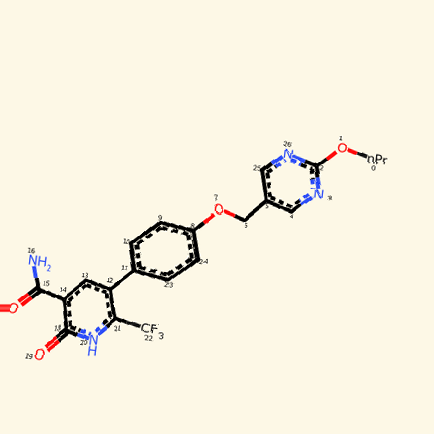 CCCOc1ncc(COc2ccc(-c3cc(C(N)=O)c(=O)[nH]c3C(F)(F)F)cc2)cn1